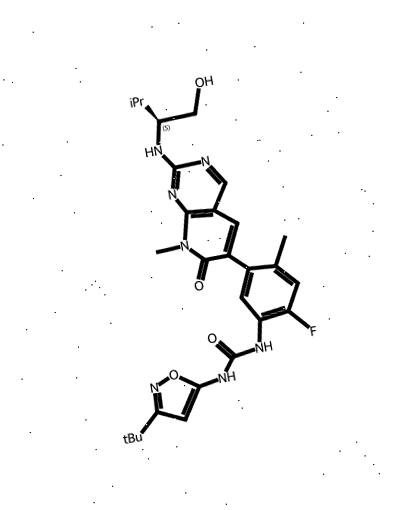 Cc1cc(F)c(NC(=O)Nc2cc(C(C)(C)C)no2)cc1-c1cc2cnc(N[C@H](CO)C(C)C)nc2n(C)c1=O